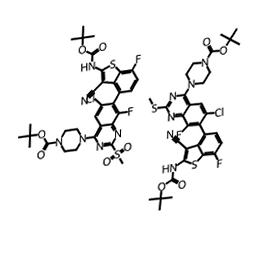 CC(C)(C)OC(=O)Nc1sc2c(F)ccc(-c3c(Cl)cc4c(N5CCN(C(=O)OC(C)(C)C)CC5)nc(S(C)(=O)=O)nc4c3F)c2c1C#N.CSc1nc(N2CCN(C(=O)OC(C)(C)C)CC2)c2cc(Cl)c(-c3ccc(F)c4sc(NC(=O)OC(C)(C)C)c(C#N)c34)c(F)c2n1